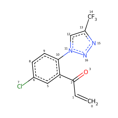 C=CC(=O)c1cc(Cl)ccc1-n1cc(C(F)(F)F)nn1